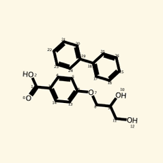 O=C(O)c1ccc(OCC(O)CO)cc1.c1ccc(-c2ccccc2)cc1